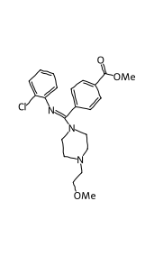 COCCN1CCN(C(=Nc2ccccc2Cl)c2ccc(C(=O)OC)cc2)CC1